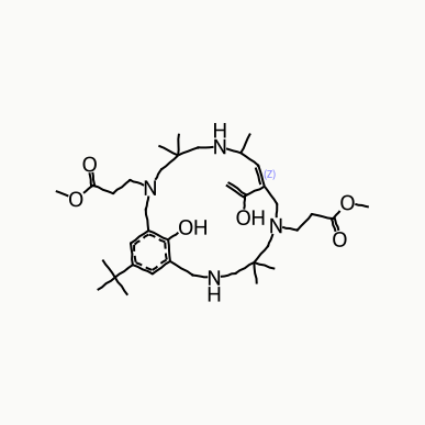 C=C(O)/C1=C\C(C)NCC(C)(C)CN(CCC(=O)OC)Cc2cc(C(C)(C)C)cc(c2O)CNCC(C)(C)CN(CCC(=O)OC)C1